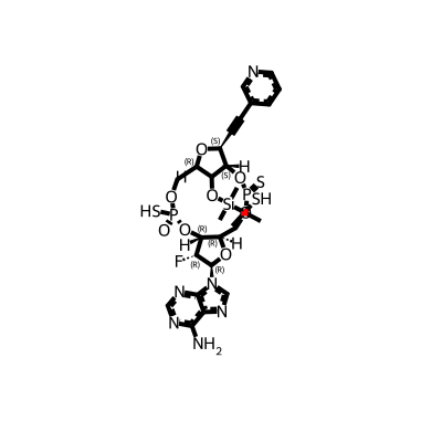 CC(C)(C)[Si](C)(C)OC1[C@H]2OP(=S)(S)OC[C@H]3O[C@@H](n4cnc5c(N)ncnc54)[C@H](F)[C@@H]3OP(=O)(S)OC[C@H]1O[C@H]2C#Cc1cccnc1